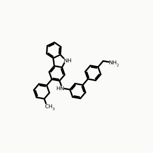 CC1C=CC=C(c2cc3c(cc2Nc2cccc(-c4ccc(CN)cc4)c2)[nH]c2ccccc23)C1